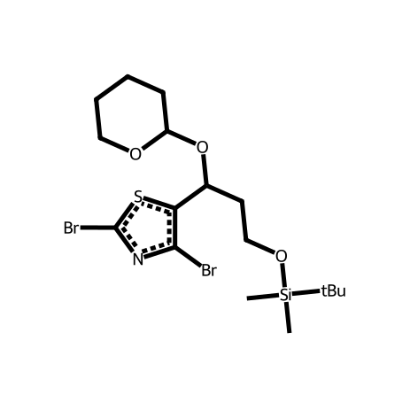 CC(C)(C)[Si](C)(C)OCCC(OC1CCCCO1)c1sc(Br)nc1Br